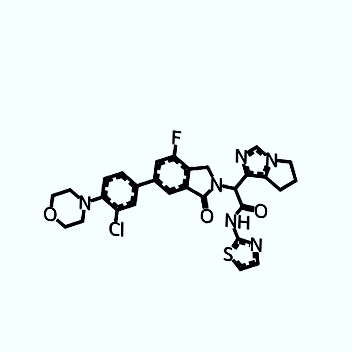 O=C(Nc1nccs1)C(c1ncn2c1CCC2)N1Cc2c(F)cc(-c3ccc(N4CCOCC4)c(Cl)c3)cc2C1=O